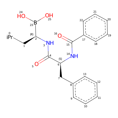 CC(C)C[C@H](NC(=O)[C@H](Cc1ccccc1)NC(=O)c1ccccc1)B(O)O